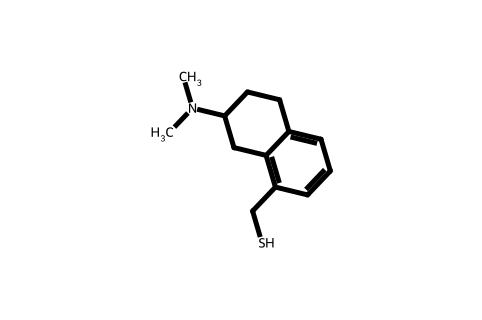 CN(C)C1CCc2cccc(CS)c2C1